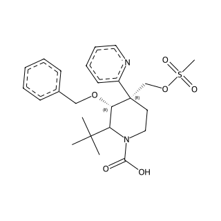 CC(C)(C)C1[C@H](OCc2ccccc2)[C@@](COS(C)(=O)=O)(c2ccccn2)CCN1C(=O)O